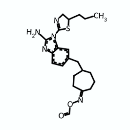 CCCC1CN=C(n2c(N)nc3ccc(CC4CCCC(=NOC=O)CC4)cc32)S1